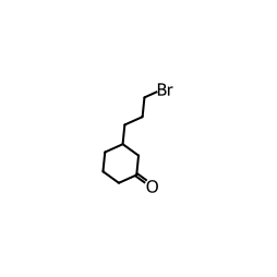 O=C1CCCC(CCCBr)C1